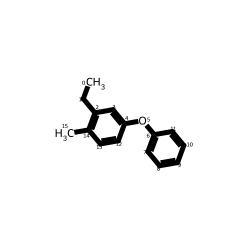 CCc1cc(Oc2ccccc2)ccc1C